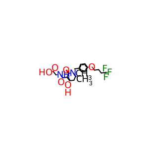 CC1(C)CC(O)=C(C(=O)NCC(=O)O)C(=O)N1Cc1ccc(OCCCC(F)(F)F)cc1